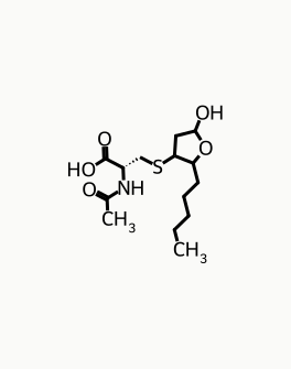 CCCCCC1OC(O)CC1SC[C@H](NC(C)=O)C(=O)O